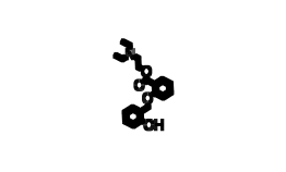 CCN(CC)CCOC(=O)c1ccccc1OCc1ccccc1O